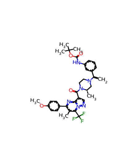 C=C(c1cccc(NC(=O)OC(C)(C)C)c1)N1CCN(C(=O)c2cnn3c(C(F)(F)F)c(C)c(-c4ccc(OC)cc4)nc23)[C@H](C)C1